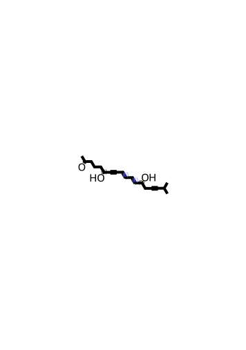 CC(=O)CCC[C@H](O)C#C/C=C/C=C/[C@H](O)CC#CC(C)C